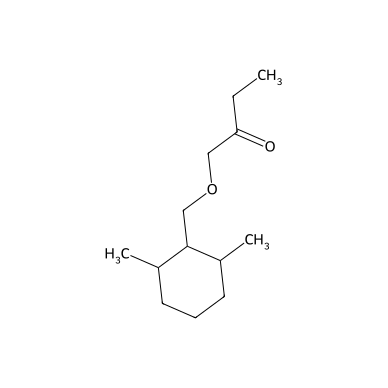 CCC(=O)COCC1C(C)CCCC1C